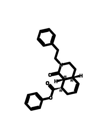 O=C(Oc1ccccc1)[C@H]1CC=C[C@H]2CCN(CCc3ccccc3)C(=O)[C@@H]12